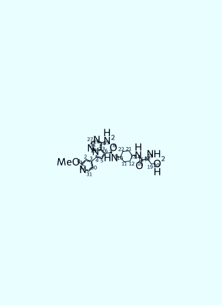 COc1cc(-c2cc(C(=O)NC3CCC(NC(=O)[C@@H](N)CO)CC3)c3c(N)ncnn23)ccn1